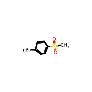 CCCCc1ccc(S(C)(=O)=O)cc1